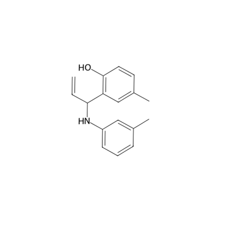 C=CC(Nc1cccc(C)c1)c1cc(C)ccc1O